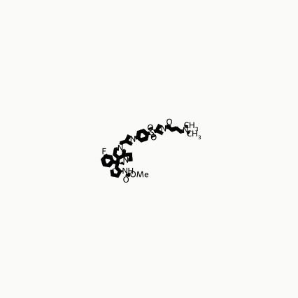 COC(=O)N[C@H]1CCC[C@@H]1[C@](CN1CCC1)(c1cccc(F)c1)C1CCN(CC2CN(c3ccc(S(=O)(=O)C4CN(C(=O)/C=C/CN(C)C)C4)cc3)C2)CC1